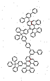 c1ccc(-c2cc(-c3ccc(-c4ccc(C5(c6ccccc6)c6ccccc6-c6cc(N(c7ccc(-c8cc(-c9ccccc9)ccc8-c8ccccc8)cc7)c7c(-c8cccc9ccccc89)c8ccccc8c8ccccc78)ccc65)cc4)cc3)cc(-c3ccc(N(c4ccc5c(c4)-c4ccccc4C5(c4ccccc4)c4ccccc4)c4c(-c5cccc6ccccc56)c5ccccc5c5ccccc45)cc3)c2)cc1